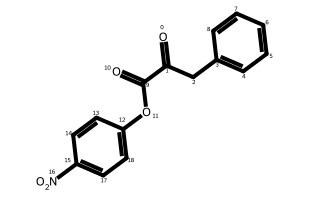 O=C(Cc1ccccc1)C(=O)Oc1ccc([N+](=O)[O-])cc1